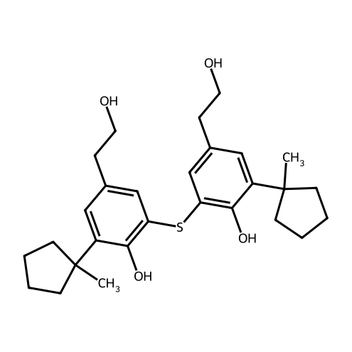 CC1(c2cc(CCO)cc(Sc3cc(CCO)cc(C4(C)CCCC4)c3O)c2O)CCCC1